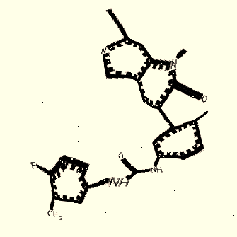 Cc1cc2c(cn1)cc(-c1cc(NC(=O)Nc3ccc(F)c(C(F)(F)F)c3)ccc1C)c(=O)n2C